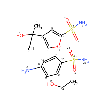 CC(C)(O)c1coc(S(N)(=O)=O)c1.CCO.Nc1ccc(S(N)(=O)=O)cc1